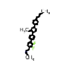 CC/C=C\Cc1ccc(-c2ccc(-c3ccc(C4=CCC(CCCCC)CC4)cc3CC)cc2)c(F)c1F